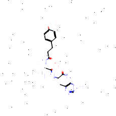 CC[C@H](C)[C@H](NC(=O)CCc1ccc(O)cc1)C(=O)N[C@@H](Cc1c[nH]cn1)C(N)=O